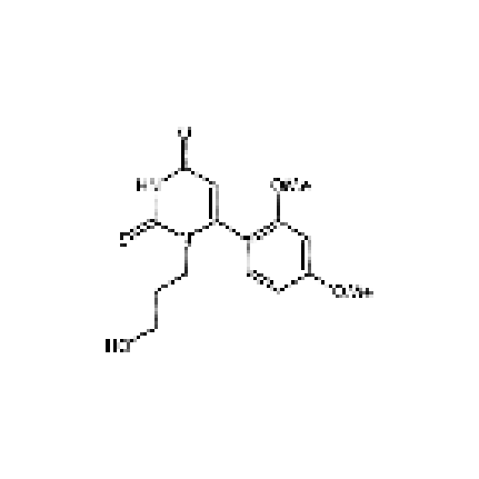 COc1ccc(-c2cc(=O)[nH]c(=S)n2CCCO)c(OC)c1